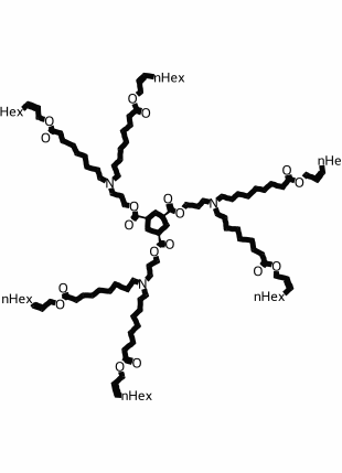 CCCCCC/C=C\COC(=O)CCCCCCCCN(CCCCCCCCC(=O)OC/C=C\CCCCCC)CCCOC(=O)[C@H]1C[C@@H](C(=O)OCCCN(CCCCCCCCC(=O)OC/C=C\CCCCCC)CCCCCCCCC(=O)OC/C=C\CCCCCC)C[C@@H](C(=O)OCCCN(CCCCCCCCC(=O)OC/C=C\CCCCCC)CCCCCCCCC(=O)OC/C=C\CCCCCC)C1